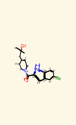 CC(C)(O)CC1CCN(C(=O)c2cc3cc(Br)ccc3[nH]2)CC1